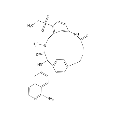 CCS(=O)(=O)c1ccc2cc1CN(C)C(=O)C(Nc1ccc3c(N)nccc3c1)c1ccc(cc1)CCCC(=O)N2